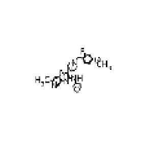 COc1ccc(CN2CCN(c3nc4cc(C)ncc4nc3NC3CCOC3)CC2)c(F)c1